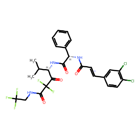 CC(C)[C@H](NC(=O)[C@@H](NC(=O)/C=C/c1ccc(Cl)c(Cl)c1)c1ccccc1)C(=O)C(F)(F)C(=O)NCC(F)(F)F